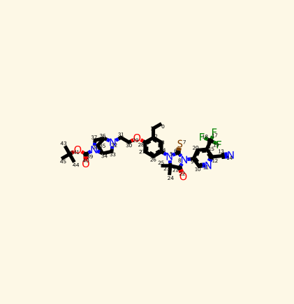 CCc1cc(N2C(=S)N(c3cnc(C#N)c(C(F)(F)F)c3)C(=O)C2(C)C)ccc1OCCN1CC2CC1CN2C(=O)OC(C)(C)C